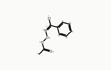 CC(=O)OO/N=C(/Cl)c1ccccc1